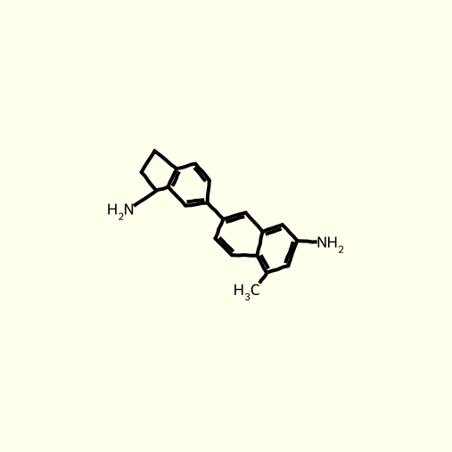 Cc1cc(N)cc2cc(-c3ccc4c(c3)C(N)CC4)ccc12